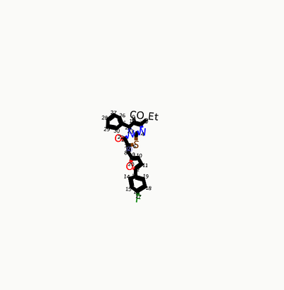 CCOC(=O)C1=C(C)N=c2s/c(=C\c3ccc(-c4ccc(F)cc4)o3)c(=O)n2C1c1ccccc1